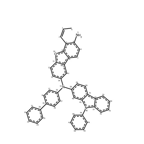 C/C=C\c1c(N)ccc2c1oc1ccc(N(c3ccc(-c4ccccc4)cc3)c3ccc4c5ccccc5n(-c5ccccc5)c4c3)cc12